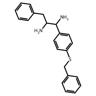 NC(Cc1ccccc1)C(N)c1ccc(SCc2ccccc2)cc1